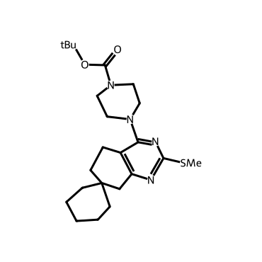 CSc1nc2c(c(N3CCN(C(=O)OC(C)(C)C)CC3)n1)CCC1(CCCCC1)C2